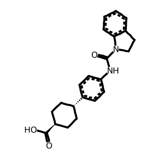 O=C(Nc1ccc([C@H]2CC[C@H](C(=O)O)CC2)cc1)N1CCc2ccccc21